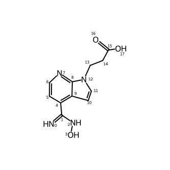 N=C(NO)c1ccnc2c1ccn2CCC(=O)O